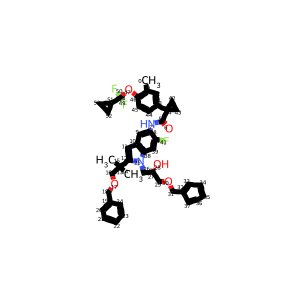 Cc1cc(C2(C(=O)Nc3cc4cc(C(C)(C)COCc5ccccc5)n(C[C@@H](O)COCc5ccccc5)c4cc3F)CC2)ccc1OC(F)(F)C1CC1